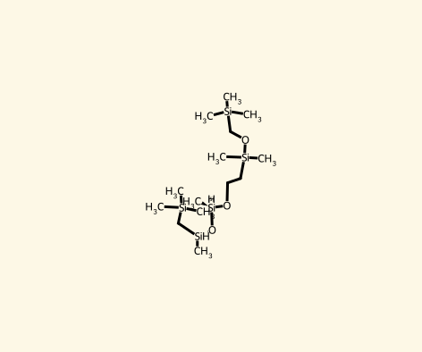 C[SiH](C[Si](C)(C)C)O[Si@@H](C)OCC[Si](C)(C)OC[Si](C)(C)C